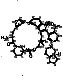 CCn1c(-c2cc(N3CCN4CCC[C@@H]4C3)cnc2[C@H](C)OC)c2c3cc(ccc31)-c1csc(n1)C[C@H](N)C(=O)N1CCC[C@H](N1)C(=O)OCC(C)(C)C2